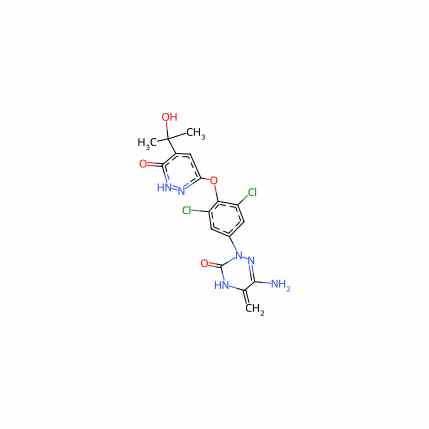 C=C1NC(=O)N(c2cc(Cl)c(Oc3cc(C(C)(C)O)c(=O)[nH]n3)c(Cl)c2)N=C1N